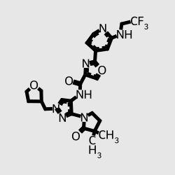 CC1(C)CCN(c2nn(CC3CCOC3)cc2NC(=O)c2coc(-c3ccnc(NCC(F)(F)F)c3)n2)C1=O